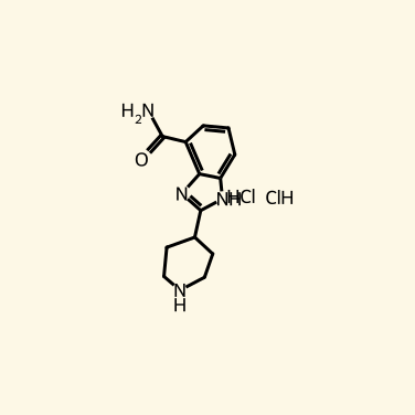 Cl.Cl.NC(=O)c1cccc2[nH]c(C3CCNCC3)nc12